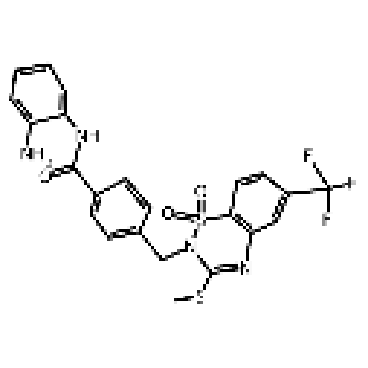 CSC1=Nc2cc(C(F)(F)F)ccc2S(=O)(=O)N1Cc1ccc(C(=O)Nc2ccccc2N)cc1